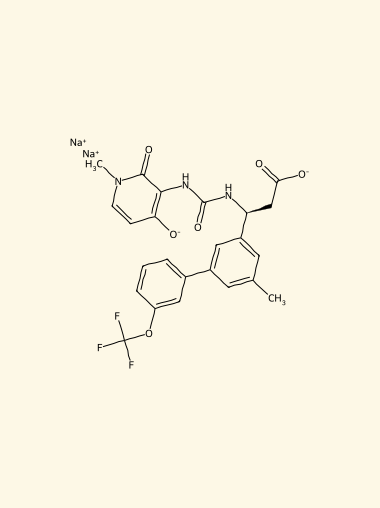 Cc1cc(-c2cccc(OC(F)(F)F)c2)cc([C@H](CC(=O)[O-])NC(=O)Nc2c([O-])ccn(C)c2=O)c1.[Na+].[Na+]